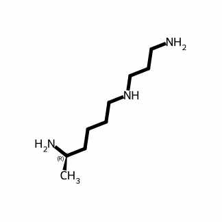 C[C@@H](N)CCCCNCCCN